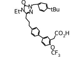 CCn1c(CCCc2ccc(-c3ccc(OC(F)(F)F)c(CC(=O)O)c3)cc2)nn(Cc2ccc(C(C)(C)C)cc2)c1=O